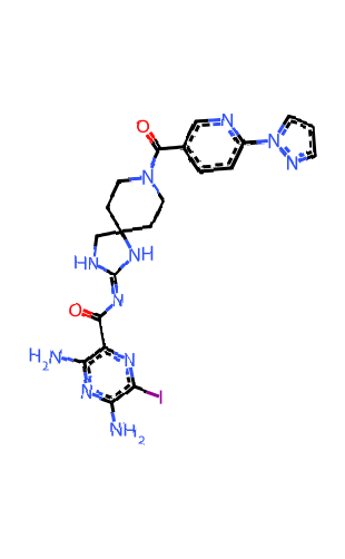 Nc1nc(N)c(C(=O)/N=C2\NCC3(CCN(C(=O)c4ccc(-n5cccn5)nc4)CC3)N2)nc1I